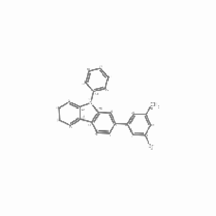 Cc1cc(Br)cc(-c2ccc3c4c(n(-c5ccccc5)c3c2)=CCCC=4)c1